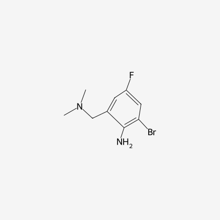 CN(C)Cc1cc(F)cc(Br)c1N